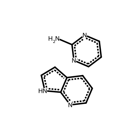 Nc1ncccn1.c1cnc2[nH]ccc2c1